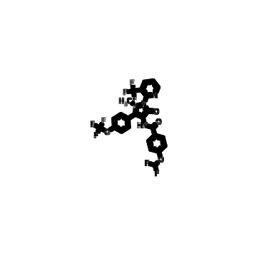 Cn1c(-c2ccc(OC(F)(F)F)cc2)c(NC(=O)c2ccc(OC(F)F)cc2)c(=O)n1-c1ncccc1C(F)(F)F